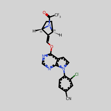 N#Cc1ccc(-n2ccc3c(OC=C4[C@@H]5CC[C@@H]4N5C(=O)C(F)(F)F)ncnc32)c(Cl)c1